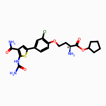 NC(=O)Nc1sc(-c2ccc(OCC[C@H](N)C(=O)OC3CCCC3)c(Cl)c2)cc1C(N)=O